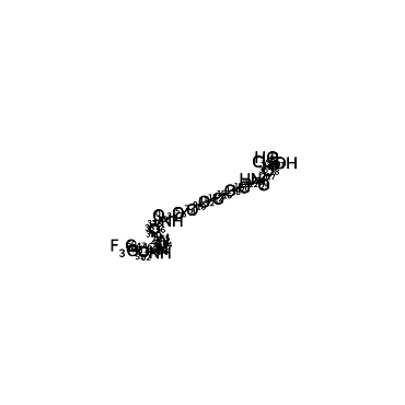 O=C(NCCOCCOCCOCCOCCOCCOCCNC(=O)c1ccc(B(O)O)c(Cl)c1)c1cccc(-c2cc(Nc3ccc(OC(F)(F)F)cc3)ncn2)c1